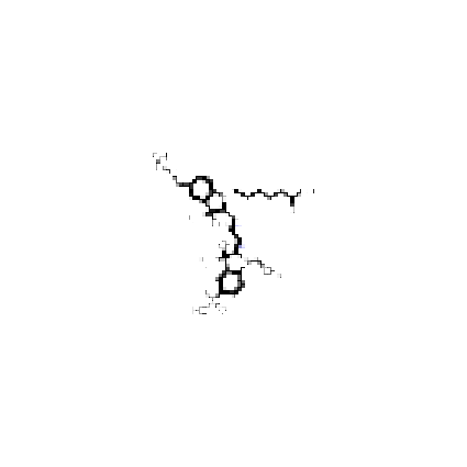 CCN1/C(=C/C=C/C2=[N+](CCCCCC(=O)O)c3ccc(SOOO)cc3C2(C)C)C(C)(C)c2cc(S(=O)(=O)O)ccc21